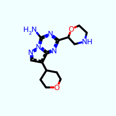 Nc1nc(C2CNCCO2)nc2c(C3CCOCC3)cnn12